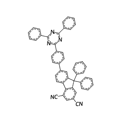 N#Cc1cc(C#N)c2c(c1)C(c1ccccc1)(c1ccccc1)c1cc(-c3ccc(-c4nc(-c5ccccc5)nc(-c5ccccc5)n4)cc3)ccc1-2